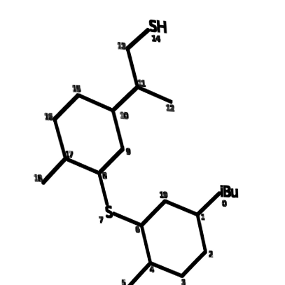 CCC(C)C1CCC(C)C(SC2CC(C(C)CS)CCC2C)C1